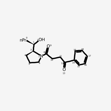 CCC[C@@H](O)[C@@H]1CCCN1C(=O)CCC(=O)c1ccccc1